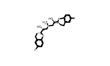 O[C@H](CN(P)C[C@@H](O)[C@H]1CCc2cc(F)ccc2O1)[C@@H]1CCc2cc(F)ccc2O1